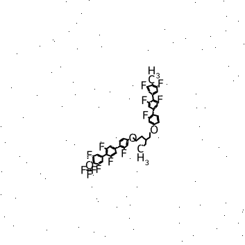 CCC(CCOc1ccc(-c2cc(F)c(-c3cc(F)c(C)c(F)c3)c(F)c2)c(F)c1)CCOc1ccc(-c2cc(F)c(-c3cc(F)c(OC(F)(F)F)c(F)c3)c(F)c2)c(F)c1